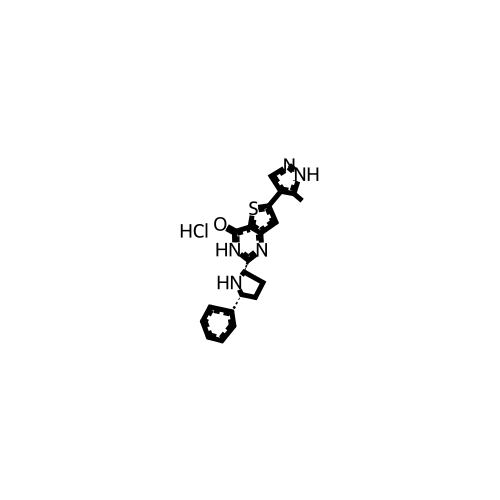 Cc1[nH]ncc1-c1cc2nc([C@@H]3CC[C@H](c4ccccc4)N3)[nH]c(=O)c2s1.Cl